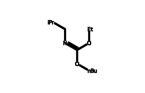 CCCCOC(=NCC(C)C)OCC